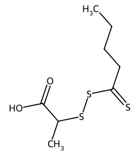 CCCCC(=S)SSC(C)C(=O)O